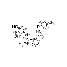 C[C@H](Cc1cccc(CC(=O)NCc2cc(C(F)(F)F)ccc2F)c1)NC[C@@H](O)c1ccc(O)c(CO)c1